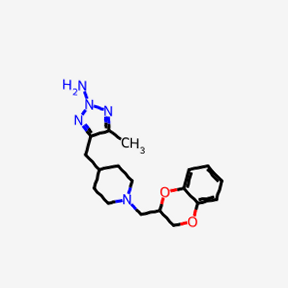 Cc1nn(N)nc1CC1CCN(CC2COc3ccccc3O2)CC1